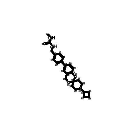 CNC(=O)NCc1ccc(-c2ccc3c(c2)COC2(CCN(C4CCC4)CC2)O3)cc1